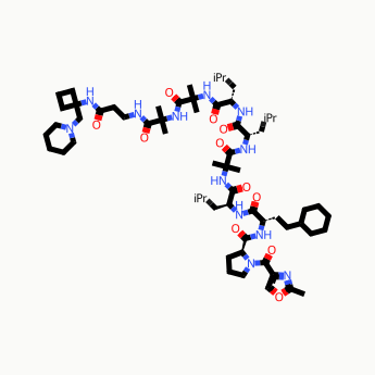 Cc1nc(C(=O)N2CCC[C@H]2C(=O)N[C@@H](CCC2CCCCC2)C(=O)N[C@@H](CC(C)C)C(=O)NC(C)(C)C(=O)N[C@@H](CC(C)C)C(=O)N[C@@H](CC(C)C)C(=O)NC(C)(C)C(=O)NC(C)(C)C(=O)NCCC(=O)NC2(CN3CCCCC3)CCC2)co1